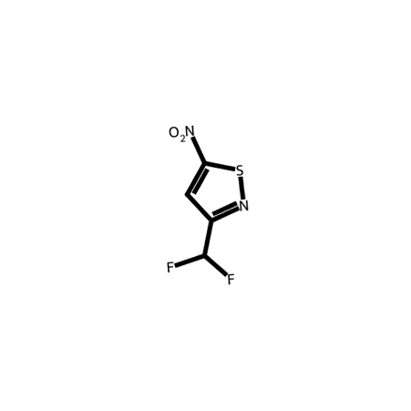 O=[N+]([O-])c1cc(C(F)F)ns1